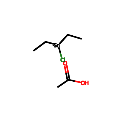 CC(=O)O.C[CH2][Sn]([Cl])[CH2]C